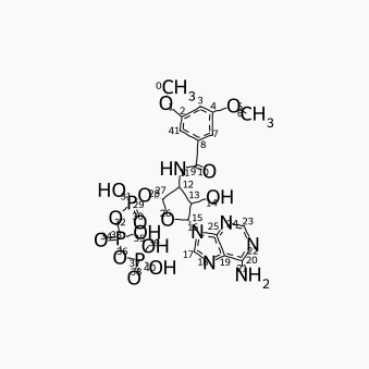 COc1cc(OC)cc(C(=O)NC2C(O)[C@H](n3cnc4c(N)ncnc43)O[C@@H]2OP(=O)(O)OP(=O)(O)OP(=O)(O)O)c1